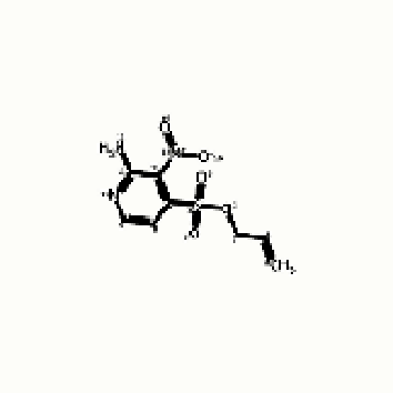 C=CCOS(=O)(=O)c1ccnc(N)c1[N+](=O)[O-]